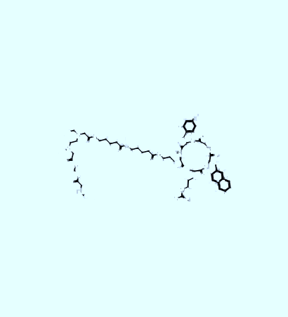 CCN(CCN(C)CC(=O)OCOC(=O)CNC)CC(=O)NCCCCC(=O)NCCCCC(=O)NCCC[C@@H]1C(=O)N[C@@H](CCCNC(=N)N)C(=O)N[C@@H](Cc2ccc3ccccc3c2)C(=O)NCC(=O)N[C@H](Cc2ccc(O)cc2)C(=O)N1C